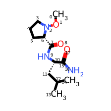 CON1CCC[C@H]1C(=O)N[C@@H](CC(C)C)C(N)=O